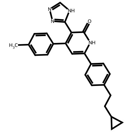 Cc1ccc(-c2cc(-c3ccc(CCC4CC4)cc3)[nH]c(=O)c2-c2nnc[nH]2)cc1